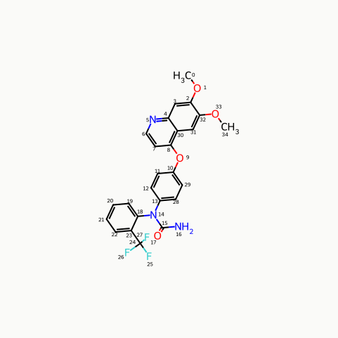 COc1cc2nccc(Oc3ccc(N(C(N)=O)c4ccccc4C(F)(F)F)cc3)c2cc1OC